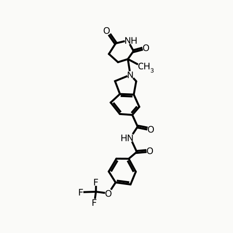 CC1(N2Cc3ccc(C(=O)NC(=O)c4ccc(OC(F)(F)F)cc4)cc3C2)CCC(=O)NC1=O